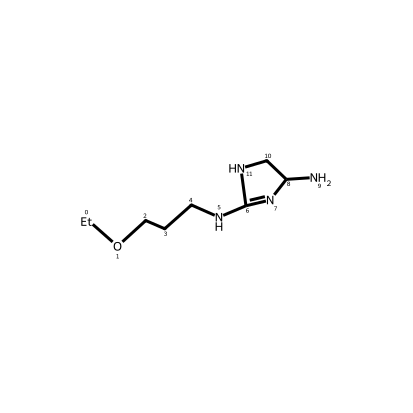 CCOCCCNC1=NC(N)CN1